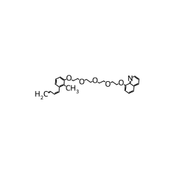 C=C/C=C\c1cccc(OCCOCCOCCOCCOc2cccc3cccnc23)c1C